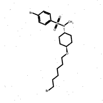 CN([C@H]1CC[C@H](OCCCCCCBr)CC1)S(=O)(=O)c1ccc(Br)cc1